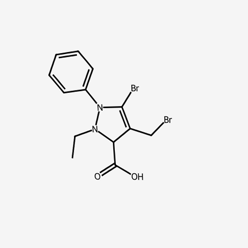 CCN1C(C(=O)O)C(CBr)=C(Br)N1c1ccccc1